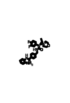 CC1C(N(C(=O)NCc2ccc(C(=O)Nc3ccccc3N)cc2)c2ccc(F)c(F)c2)[N+]12CCOCC2